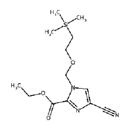 CCOC(=O)c1nc(C#N)cn1COCC[Si](C)(C)C